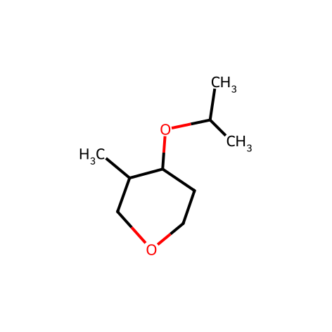 CC(C)OC1CCOCC1C